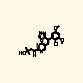 COc1cc(OC)c(Cl)c(-c2cc3cnc(NCC(C)(C)O)nc3n3cnnc23)c1